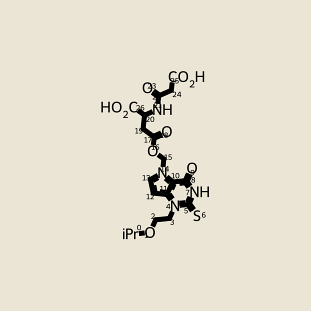 CC(C)OCCn1c(=S)[nH]c(=O)c2c1ccn2COC(=O)CC(NC(=O)CC(=O)O)C(=O)O